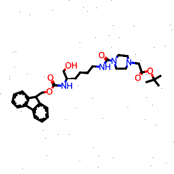 CC(C)(C)OC(=O)CN1CCN(C(=O)NCCCC[C@H](CO)NC(=O)OCC2c3ccccc3-c3ccccc32)CC1